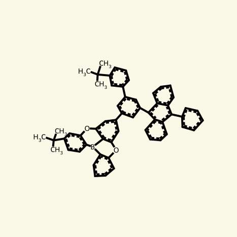 CC(C)(C)c1cccc(-c2cc(-c3cc4c5c(c3)Oc3cc(C(C)(C)C)ccc3B5c3ccccc3O4)cc(-c3c4ccccc4c(-c4ccccc4)c4ccccc34)c2)c1